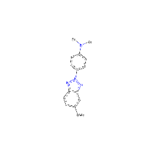 CCN(CC)c1ccc(-n2nc3ccc(OC)cc3n2)cc1